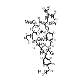 CC[C@H](C)[C@@H]([C@@H](CC(=O)N1CCC[C@H]1[C@H](OC)[C@@H](C)C(=O)N[C@@H](Cc1ccccc1)C(=O)Nc1ccc(CN)cc1)OC)N(C)C(=O)[C@@H](N=C(N(C)C)N(C)C)C(C)C